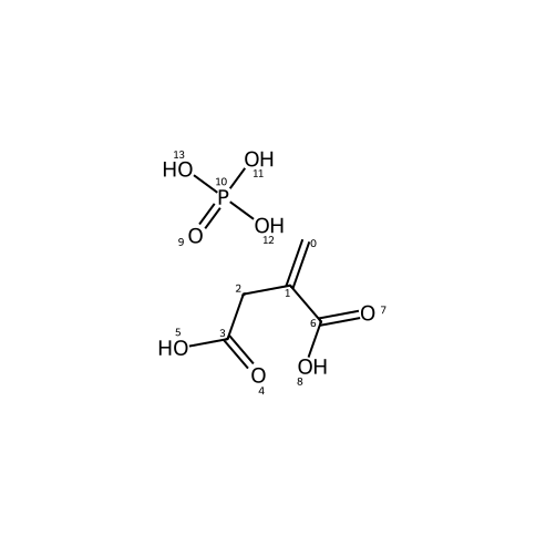 C=C(CC(=O)O)C(=O)O.O=P(O)(O)O